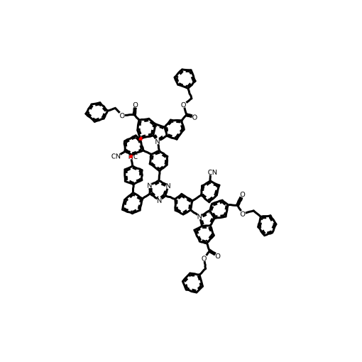 [C-]#[N+]c1ccc(-c2ccccc2-c2nc(-c3ccc(-n4c5ccc(C(=O)OCc6ccccc6)cc5c5cc(C(=O)OCc6ccccc6)ccc54)c(-c4cccc(C#N)c4)c3)nc(-c3ccc(-n4c5ccc(C(=O)OCc6ccccc6)cc5c5cc(C(=O)OCc6ccccc6)ccc54)c(-c4cccc([N+]#[C-])c4)c3)n2)cc1